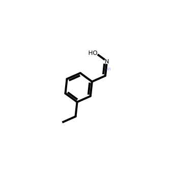 CCc1cccc(/C=N\O)c1